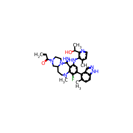 C=CC(=O)N1CCN2C(=N)c3c(Nc4c(C)ccnc4C(C)O)cc(-c4c(C)ccc5[nH]ncc45)c(F)c3N(C)CCC2C1